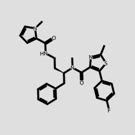 Cc1nc(C(=O)N(C)[C@H](CCNC(=O)c2cccn2C)Cc2ccccc2)c(-c2ccc(F)cc2)s1